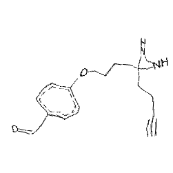 C#CCCC1(CCOc2ccc(C=O)cc2)NN1